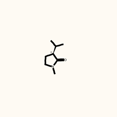 CC(C)[C@@H]1CCN(C)C1=O